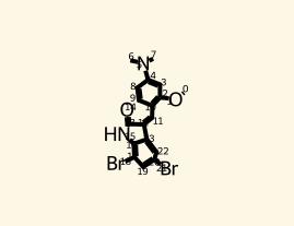 COc1cc(N(C)C)ccc1C=C1C(=O)Nc2c(Br)cc(Br)cc21